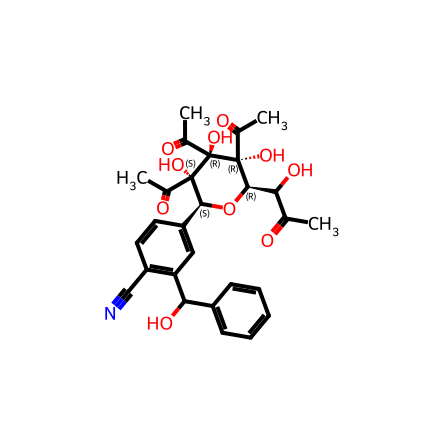 CC(=O)C(O)[C@H]1O[C@@H](c2ccc(C#N)c(C(O)c3ccccc3)c2)[C@@](O)(C(C)=O)[C@](O)(C(C)=O)[C@@]1(O)C(C)=O